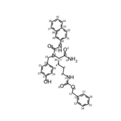 NC(=O)[C@@H](CCCNC(=O)OCc1ccccc1)N(Cc1ccc(O)cc1)C(=O)Nc1ccc2ccccc2c1